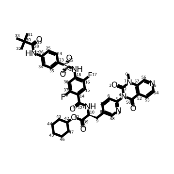 Cn1c(=O)n(-c2ccc(C[C@H](NC(=O)c3cc(F)c(NS(=O)(=O)c4ccc(NC(=O)C(C)(C)C)cc4)cc3F)C(=O)OC3CCCCC3)cn2)c(=O)c2ccncc21